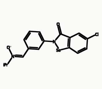 CC(C)[N+]([O-])=Cc1cccc(-n2[se]c3ccc(Cl)cc3c2=O)c1